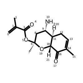 C=C(C)C(=O)O[C@@]1(C)C[C@H](N)[C@H]2CC=C(C)C(=O)[C@@H]2O1